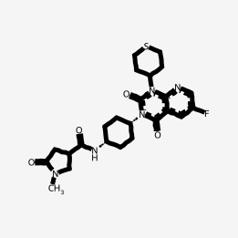 CN1CC(C(=O)N[C@H]2CC[C@@H](n3c(=O)c4cc(F)cnc4n(C4CCSCC4)c3=O)CC2)CC1=O